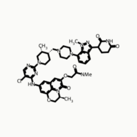 CNC(=O)COc1cc2cc(Nc3nc(N4CC[C@@H](CN5CCN(c6cccc7c(C8CCC(=O)NC8=O)nn(C)c67)CC5)[C@@H](C)C4)ncc3Cl)cc3c2n(c1=O)[C@@H](C)CO3